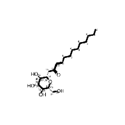 CCCCCCCCCC=CC(=O)C[C@@H]1O[C@H](CO)[C@@H](O)[C@H](O)[C@H]1O